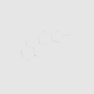 CCn1nc2ccc(-c3c(Br)cc[nH]c3=O)cc2c1C